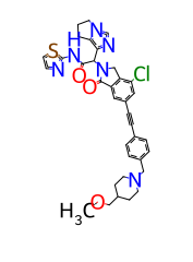 COCC1CCN(Cc2ccc(C#Cc3cc(Cl)c4c(c3)C(=O)N(C(C(=O)Nc3nccs3)c3ncn5c3CCC5)C4)cc2)CC1